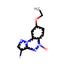 CCOc1ccc2c(c1)n1ncc(I)c1n[n+]2[O-]